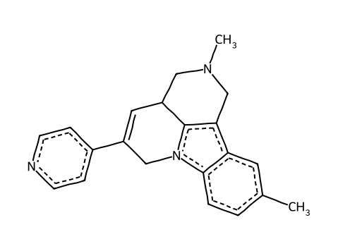 Cc1ccc2c(c1)c1c3n2CC(c2ccncc2)=CC3CN(C)C1